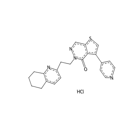 Cl.O=c1c2c(-c3ccncc3)csc2cnn1CCc1ccc2c(n1)CCCC2